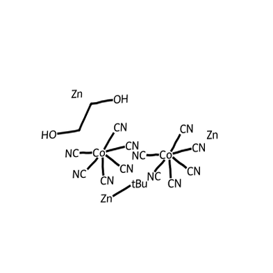 C[C](C)(C)[Zn].N#[C][Co]([C]#N)([C]#N)([C]#N)([C]#N)[C]#N.N#[C][Co]([C]#N)([C]#N)([C]#N)([C]#N)[C]#N.OCCO.[Zn].[Zn]